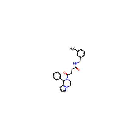 Cc1cccc(CNC(=O)CCC(=O)N2CCn3cccc3C2c2ccccc2)c1